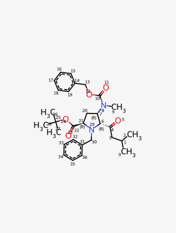 CC(C)CC(=O)[C@H]1[C@H](N(C)C(=O)OCc2ccccc2)C[C@H](C(=O)OC(C)(C)C)N1Cc1ccccc1